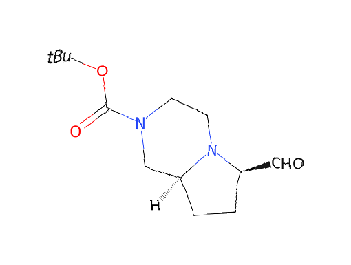 CC(C)(C)OC(=O)N1CCN2[C@@H](CC[C@@H]2C=O)C1